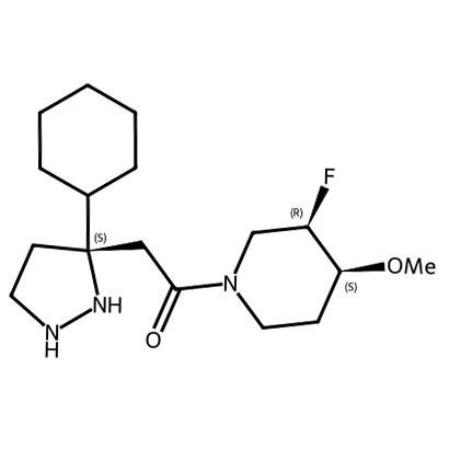 CO[C@H]1CCN(C(=O)C[C@]2(C3CCCCC3)CCNN2)C[C@H]1F